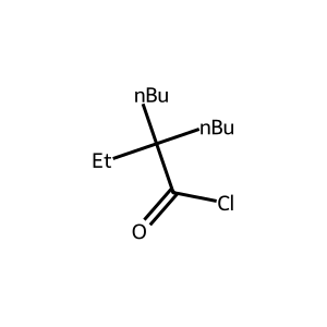 CCCCC(CC)(CCCC)C(=O)Cl